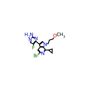 COCCCn1cc(-c2nc(N)ncc2F)c2cc(Br)nc(C3CC3)c21